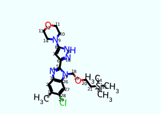 Cc1cc2nc(-c3cc(N4CCOCC4)[nH]n3)n(COCC[Si](C)(C)C)c2cc1Cl